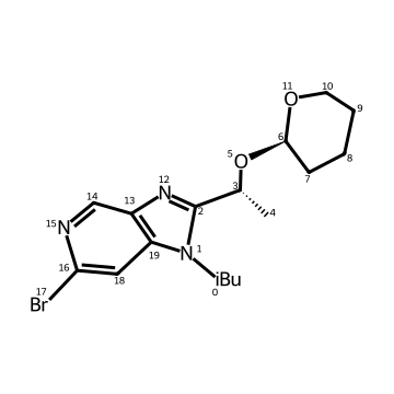 CCC(C)n1c([C@@H](C)O[C@@H]2CCCCO2)nc2cnc(Br)cc21